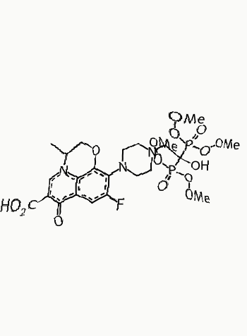 COOP(=O)(OOC)C(O)(CN1CCN(c2c(F)cc3c(=O)c(C(=O)O)cn4c3c2OCC4C)CC1)P(=O)(OOC)OOC